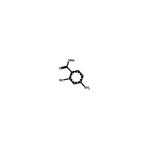 CSC(=O)c1ccc(N)cc1C#N